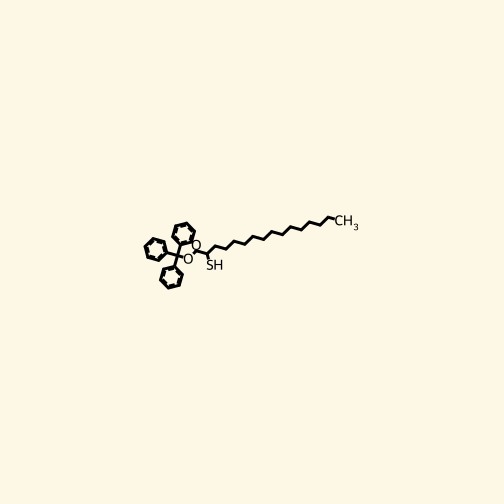 CCCCCCCCCCCCCCC(S)C(=O)OC(c1ccccc1)(c1ccccc1)c1ccccc1